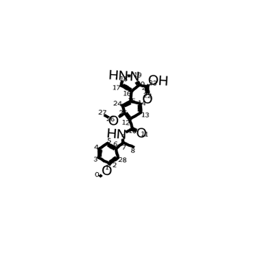 COc1cccc(C(C)NC(=O)c2ccc(-c3c[nH]nc3C(=O)O)cc2OC)c1